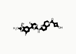 Cc1nc2c(F)cc(-c3nc(Nc4ccc5c(n4)CCN(C(=O)C4CC(O)C4)C5)ncc3F)cc2n1C(C)C